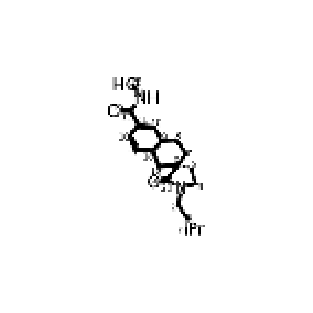 CC(C)CCN1CC[C@]2(CCC3C=C(C(=O)NO)C=CC3C2)C1=O